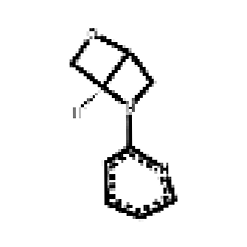 c1ccc(N2CC3OC[C@@H]32)nc1